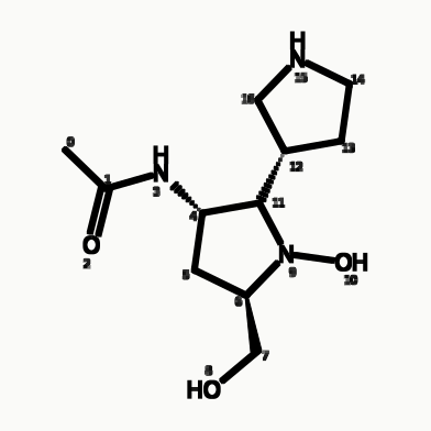 CC(=O)N[C@H]1C[C@H](CO)N(O)C1[C@H]1CCNC1